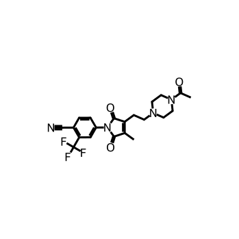 CC(=O)N1CCN(CCC2=C(C)C(=O)N(c3ccc(C#N)c(C(F)(F)F)c3)C2=O)CC1